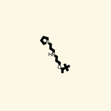 CC(OCCCNCCCN1CCCC1)C(C)(C)C